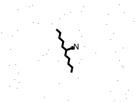 CCCCCC(C#N)CCCCC